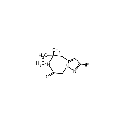 CC(C)c1cc2n(n1)CC(=O)N(C)C(C)(C)C2